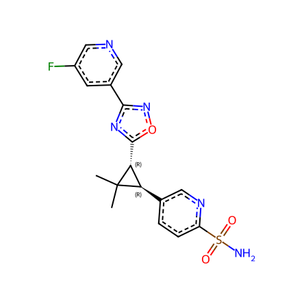 CC1(C)[C@H](c2ccc(S(N)(=O)=O)nc2)[C@H]1c1nc(-c2cncc(F)c2)no1